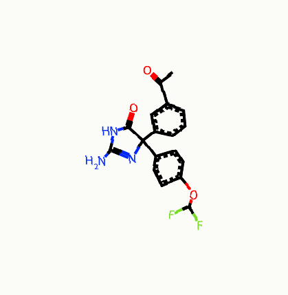 CC(=O)c1cccc(C2(c3ccc(OC(F)F)cc3)N=C(N)NC2=O)c1